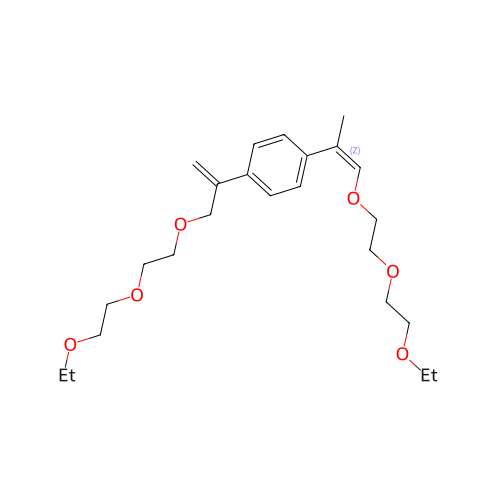 C=C(COCCOCCOCC)c1ccc(/C(C)=C\OCCOCCOCC)cc1